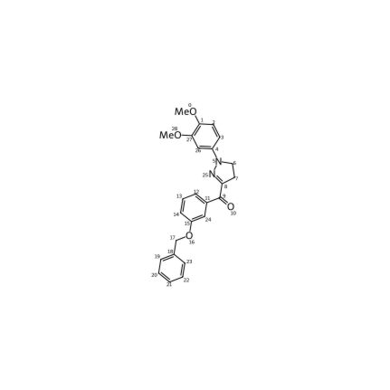 COc1ccc(N2CCC(C(=O)c3cccc(OCc4ccccc4)c3)=N2)cc1OC